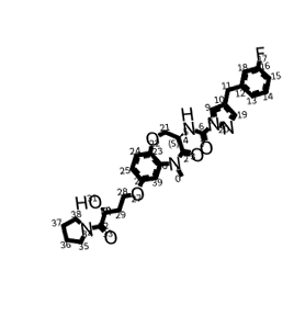 CN1C(=O)[C@@H](NC(=O)n2cc(Cc3cccc(F)c3)cn2)COc2ccc(OCC[C@@H](O)C(=O)N3CCCC3)cc21